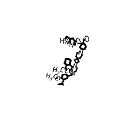 COc1ccc(CN2CCN(C3CC4(CCN(c5ccc(C=O)c(Oc6cnc7[nH]ccc7c6)c5)CC4)C3)C(c3ccccc3C(C)C)C2)cc1C1CC1